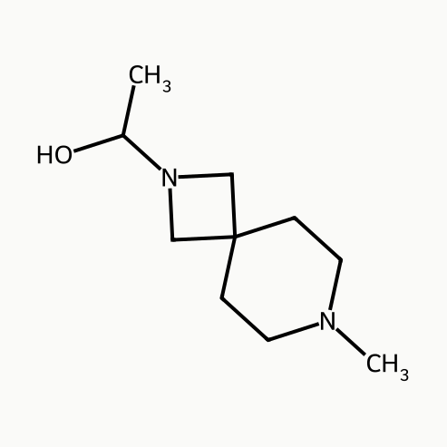 CC(O)N1CC2(CCN(C)CC2)C1